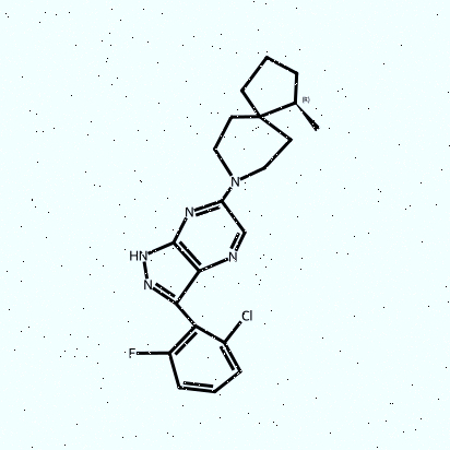 C[C@@H]1CCCC12CCN(c1cnc3c(-c4c(F)cccc4Cl)n[nH]c3n1)CC2